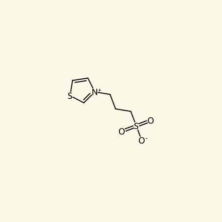 O=S(=O)([O-])CCC[n+]1ccsc1